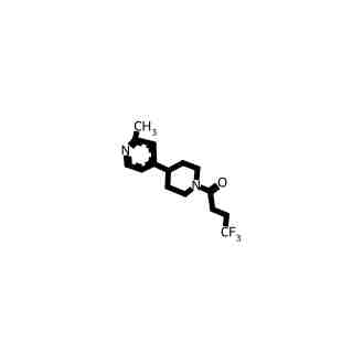 Cc1cc(C2CCN(C(=O)CCC(F)(F)F)CC2)ccn1